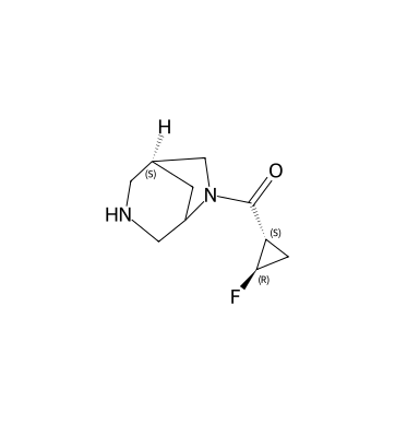 O=C([C@@H]1C[C@H]1F)N1C[C@@H]2CNCC1C2